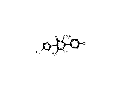 CCn1c(C)c(-c2cc(C)cs2)c(=O)c(C(=O)O)c1-c1ccc(Cl)cc1